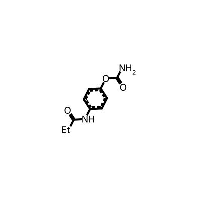 CCC(=O)Nc1ccc(OC(N)=O)cc1